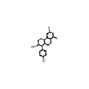 CCCC1CCC2c3cc(F)cc(F)c3CCC2C1c1ccc(Cl)cc1